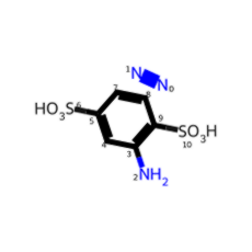 N#N.Nc1cc(S(=O)(=O)O)ccc1S(=O)(=O)O